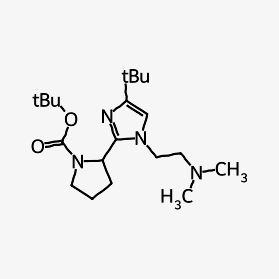 CN(C)CCn1cc(C(C)(C)C)nc1C1CCCN1C(=O)OC(C)(C)C